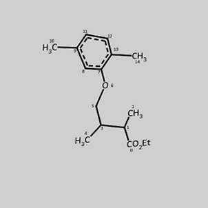 CCOC(=O)C(C)C(C)COc1cc(C)ccc1C